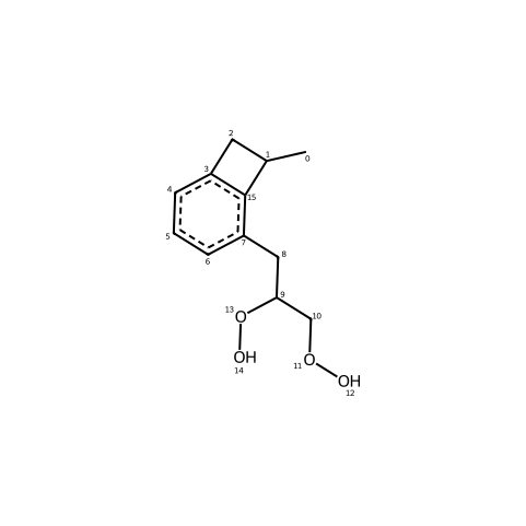 CC1Cc2cccc(CC(COO)OO)c21